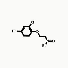 CCN(CC)CCOc1ccc(O)cc1Cl